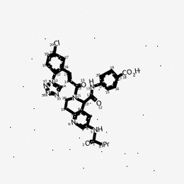 CC(C)C(=O)Nc1cnc2c(c1)C(C(=O)Nc1ccc(C(=O)O)cc1)N(C(=O)C=Cc1cc(Cl)ccc1-n1cnnn1)CC2